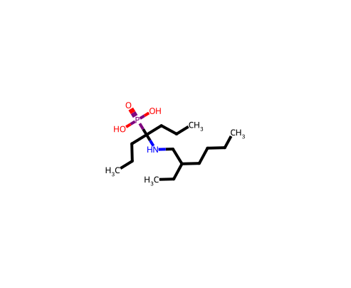 CCCCC(CC)CNC(CCC)(CCC)P(=O)(O)O